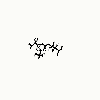 C=C(C)C(=O)OCC(CC(F)(F)C(F)(F)C(F)F)OC(=O)C(C)(F)F